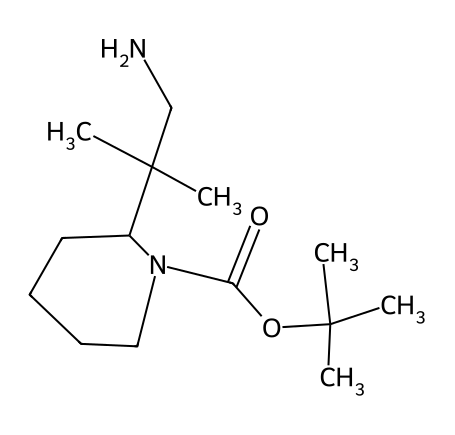 CC(C)(C)OC(=O)N1CCCCC1C(C)(C)CN